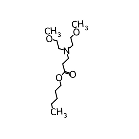 CCCCCOC(=O)CCN(CCOC)CCOC